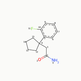 NC(=O)CC1(c2ccccc2F)CCCC1